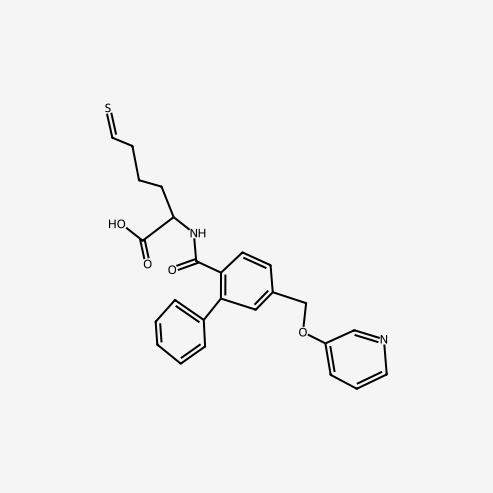 O=C(NC(CCCC=S)C(=O)O)c1ccc(COc2cccnc2)cc1-c1ccccc1